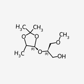 COC[C@@H](CO)O[C@@H]1OC(C)(C)OC1C